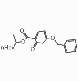 CCCCCCC(C)OC(=O)C1=CC=C(OCc2ccccc2)CC1=O